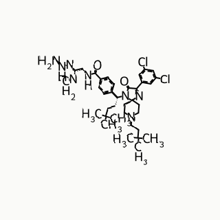 C=N/C(CNC(=O)c1ccc([C@@H](CCC(C)(C)C)N2C(=O)C(c3cc(Cl)cc(Cl)c3)=NC23CCN(CCC(C)(C)C)CC3)cc1)=N\NN